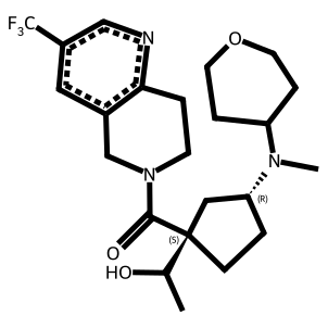 CC(O)[C@]1(C(=O)N2CCc3ncc(C(F)(F)F)cc3C2)CC[C@@H](N(C)C2CCOCC2)C1